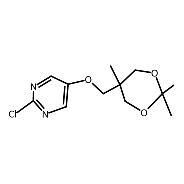 CC1(COc2cnc(Cl)nc2)COC(C)(C)OC1